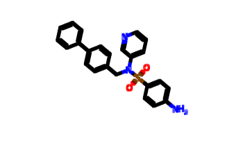 Nc1ccc(S(=O)(=O)N(Cc2ccc(-c3ccccc3)cc2)c2cccnc2)cc1